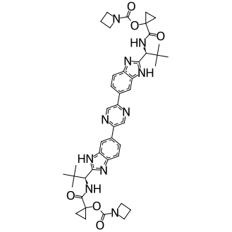 CC(C)(C)[C@H](NC(=O)C1(OC(=O)N2CCC2)CC1)c1nc2ccc(-c3cnc(-c4ccc5nc([C@@H](NC(=O)C6(OC(=O)N7CCC7)CC6)C(C)(C)C)[nH]c5c4)cn3)cc2[nH]1